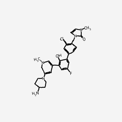 CN1C=C(c2cc(F)cc(-c3ccc(-n4ccn(C)c4=O)c(Cl)c3)c2O)C=C(N2CCC(N)CC2)C1